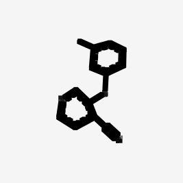 Cc1cccc(Sc2cnccc2C#N)c1